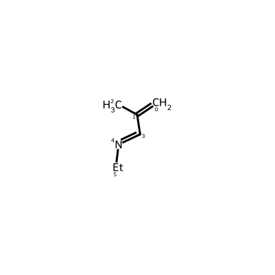 C=C(C)C=NCC